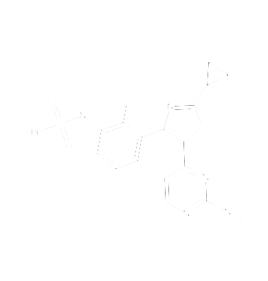 CCCS(=O)(=O)Nc1cccc(-c2nc(C3CC3)sc2-c2ccnc(N)n2)c1F